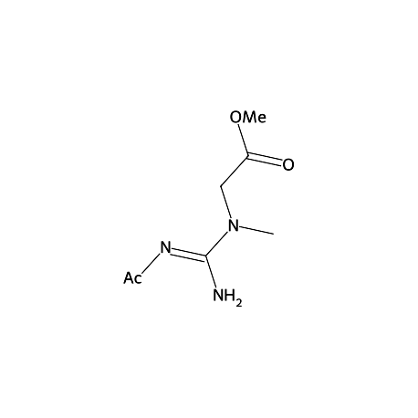 COC(=O)CN(C)/C(N)=N/C(C)=O